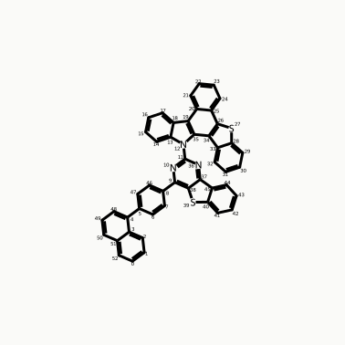 c1ccc2c(-c3ccc(-c4nc(-n5c6ccccc6c6c7ccccc7c7sc8ccccc8c7c65)nc5c4sc4ccccc45)cc3)cccc2c1